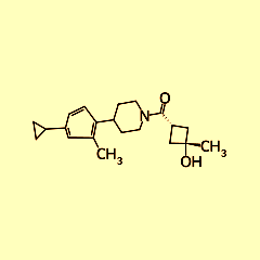 Cc1cc(C2CC2)ccc1C1CCN(C(=O)[C@H]2C[C@@](C)(O)C2)CC1